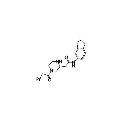 CC(C)CC(=O)N1CCNC(CC(=O)Nc2ccc3c(c2)CCC3)C1